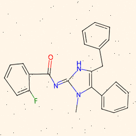 Cn1c(-c2ccccc2)c(Cc2ccccc2)[nH]/c1=N\C(=O)c1ccccc1F